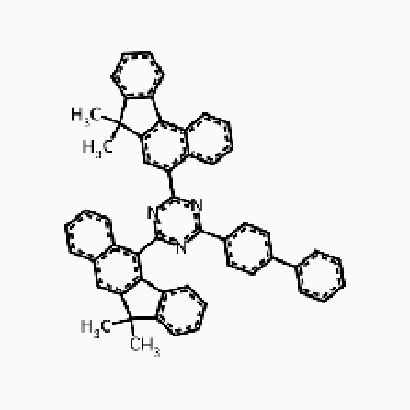 CC1(C)c2ccccc2-c2c1cc1ccccc1c2-c1nc(-c2ccc(-c3ccccc3)cc2)nc(-c2cc3c(c4ccccc24)-c2ccccc2C3(C)C)n1